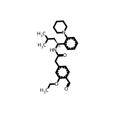 CCOc1cc(CC(=O)N[C@@H](CC(C)C)c2ccccc2N2CCCCC2)ccc1C=O